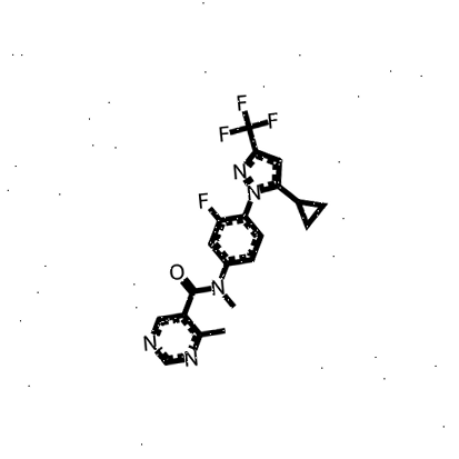 Cc1ncncc1C(=O)N(C)c1ccc(-n2nc(C(F)(F)F)cc2C2CC2)c(F)c1